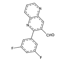 O=Cc1cc2ncccc2nc1-c1cc(F)cc(F)c1